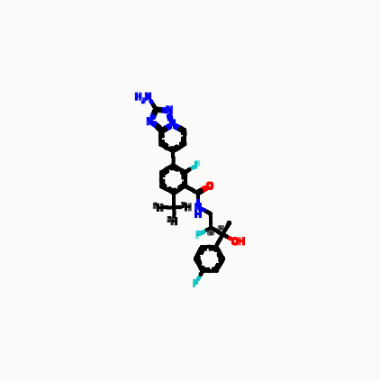 [2H]C([2H])([2H])c1ccc(-c2ccn3nc(N)nc3c2)c(F)c1C(=O)NC[C@H](F)[C@](C)(O)c1ccc(F)cc1